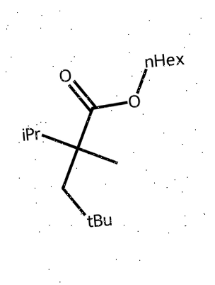 CCCCCCOC(=O)C(C)(CC(C)(C)C)C(C)C